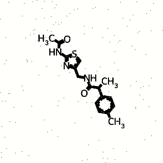 CC(=O)Nc1nc(CNC(=O)C(C)c2ccc(C)cc2)cs1